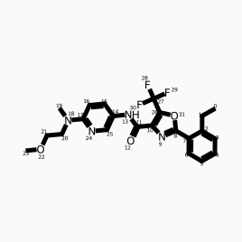 CCc1ccccc1-c1nc(C(=O)Nc2ccc(N(C)CCOC)nc2)c(C(F)(F)F)o1